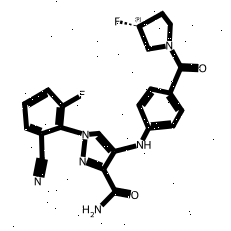 N#Cc1cccc(F)c1-n1cc(Nc2ccc(C(=O)N3CC[C@@H](F)C3)cc2)c(C(N)=O)n1